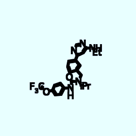 CCNc1cc(-c2cccc(CN(C(=O)Nc3ccc(OC(F)(F)F)cc3)C(C)C)c2)ncn1